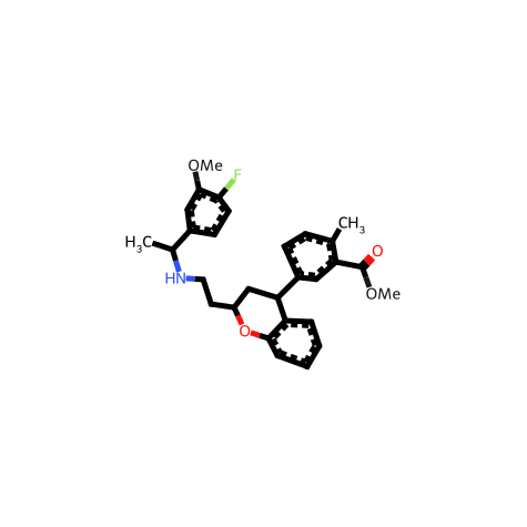 COC(=O)c1cc(C2CC(CCNC(C)c3ccc(F)c(OC)c3)Oc3ccccc32)ccc1C